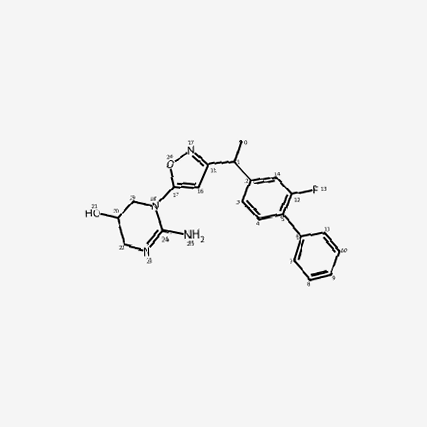 CC(c1ccc(-c2ccccc2)c(F)c1)c1cc(N2CC(O)CN=C2N)on1